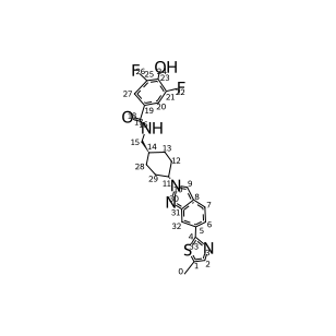 Cc1cnc(-c2ccc3cn([C@H]4CC[C@H](CNC(=O)c5cc(F)c(O)c(F)c5)CC4)nc3c2)s1